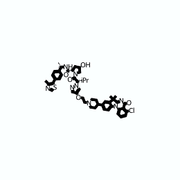 Cc1ncsc1-c1ccc([C@H](C)NC(=O)[C@@H]2C[C@@H](O)CN2C(=O)[C@H](C(C)C)n2cc(OCCN3CCC(c4ccc5c(c4)C(C)(C)c4nc(=O)c6c(Cl)cccc6n4-5)CC3)cn2)cc1